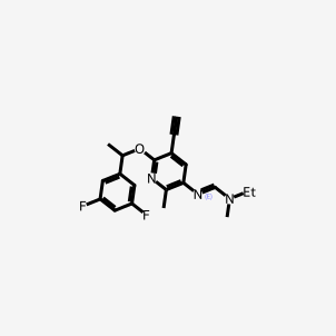 C#Cc1cc(/N=C/N(C)CC)c(C)nc1OC(C)c1cc(F)cc(F)c1